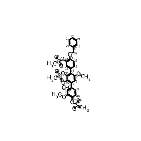 COc1cc(-c2cc(OC)c(-c3ccc(OCc4ccccc4)c(OS(C)(=O)=O)c3)c(OS(C)(=O)=O)c2OC)ccc1OS(C)(=O)=O